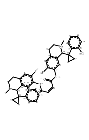 CN1CCc2cc(F)c(OC(=O)/C=C\C(=O)Oc3cc4c(cc3F)CCN(C)C4C3(c4ccccc4Cl)CC3)cc2C1C1(c2ccccc2Cl)CC1